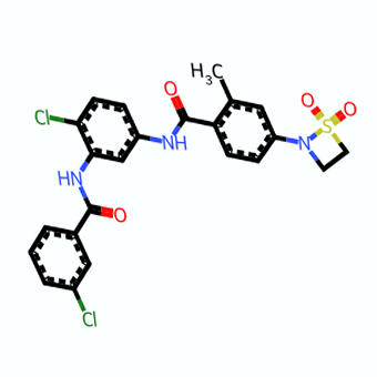 Cc1cc(N2CCS2(=O)=O)ccc1C(=O)Nc1ccc(Cl)c(NC(=O)c2cccc(Cl)c2)c1